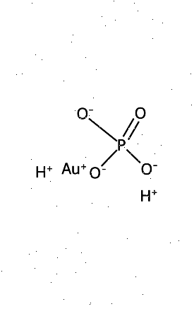 O=P([O-])([O-])[O-].[Au+].[H+].[H+]